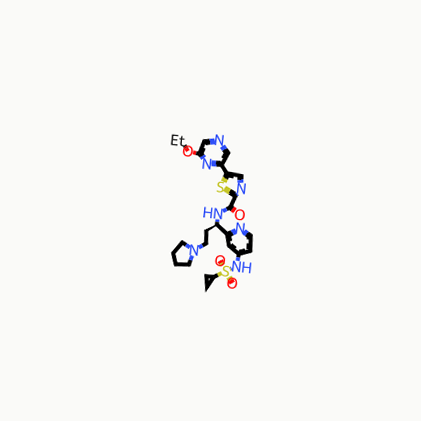 CCOc1cncc(-c2cnc(C(=O)N[C@H](CCN3CCCC3)c3cc(NS(=O)(=O)C4CC4)ccn3)s2)n1